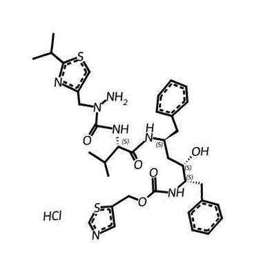 CC(C)c1nc(CN(N)C(=O)N[C@H](C(=O)N[C@@H](Cc2ccccc2)C[C@H](O)[C@H](Cc2ccccc2)NC(=O)OCc2cncs2)C(C)C)cs1.Cl